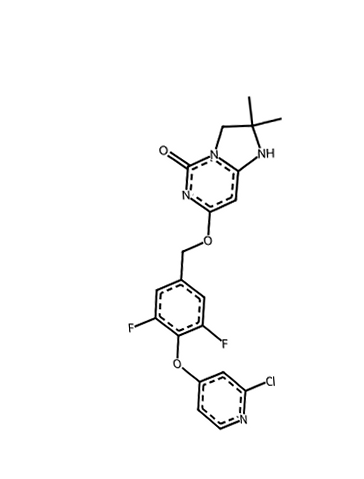 CC1(C)Cn2c(cc(OCc3cc(F)c(Oc4ccnc(Cl)c4)c(F)c3)nc2=O)N1